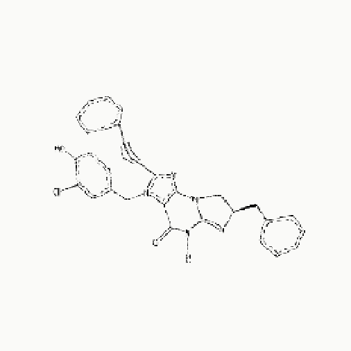 CCN1C(=O)c2c(nc(C#Cc3ccccc3)n2Cc2ccc(O)c(Cl)c2)N2C[C@@H](Cc3ccccc3)N=C12